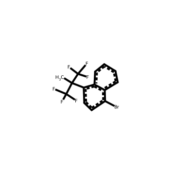 CC(c1ccc(Br)c2ccccc12)(C(F)(F)F)C(F)(F)F